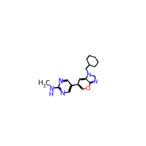 CNc1ncc(C2=COC3=NCN(CC4CCCCC4)C3=C2)cn1